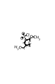 CCc1cc(S(=O)(=O)Cl)c(OC)cn1